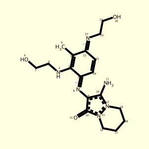 CC1=C(NCCO)C(=N/c2c(N)n3n(c2=O)CCCC3)/C=CC/1=N\CCO